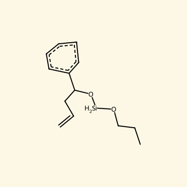 C=CCC(O[SiH2]OCCC)c1ccccc1